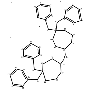 c1ccc(CC2(Cc3ccccc3)CCCC(OC3CCCC(Cc4ccccc4)(Cc4ccccc4)CC3)CC2)cc1